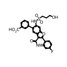 CNC(=O)c1c(-c2ccc(F)cc2)oc2cc(NS(=O)(=O)CCCO)c(-c3cccc(C(=O)O)c3)cc12